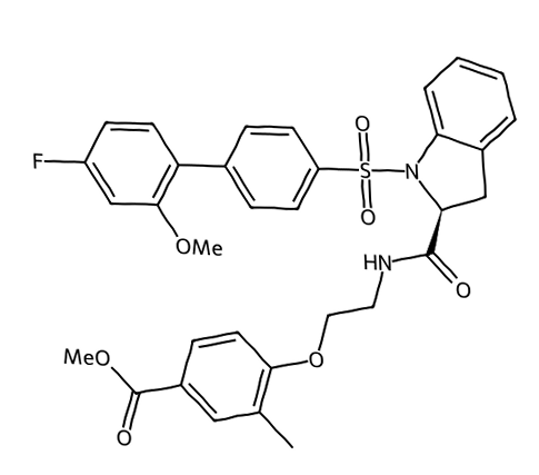 COC(=O)c1ccc(OCCNC(=O)[C@@H]2Cc3ccccc3N2S(=O)(=O)c2ccc(-c3ccc(F)cc3OC)cc2)c(C)c1